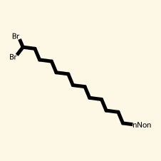 CCCCCCCCCCCCCCCCCCCCCC(Br)Br